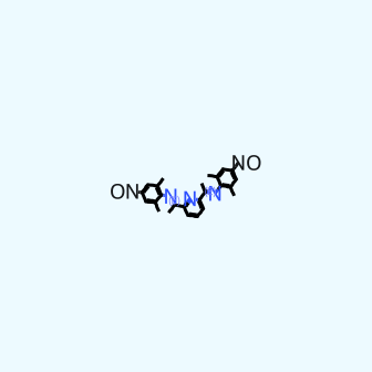 C/C(=N\c1c(C)cc(N=O)cc1C)c1cccc(/C(C)=N/c2c(C)cc(N=O)cc2C)n1